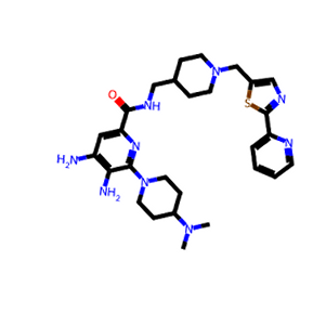 CN(C)C1CCN(c2nc(C(=O)NCC3CCN(Cc4cnc(-c5ccccn5)s4)CC3)cc(N)c2N)CC1